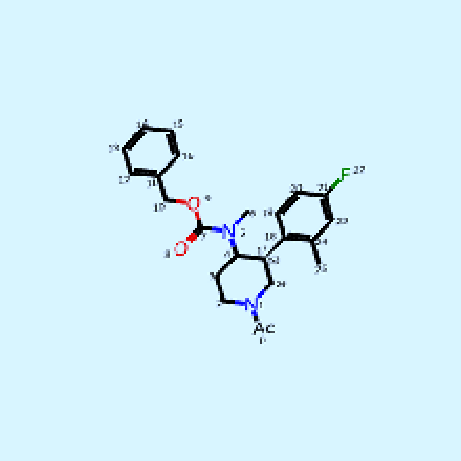 CC(=O)N1CCC(N(C)C(=O)OCc2ccccc2)[C@@H](c2ccc(F)cc2C)C1